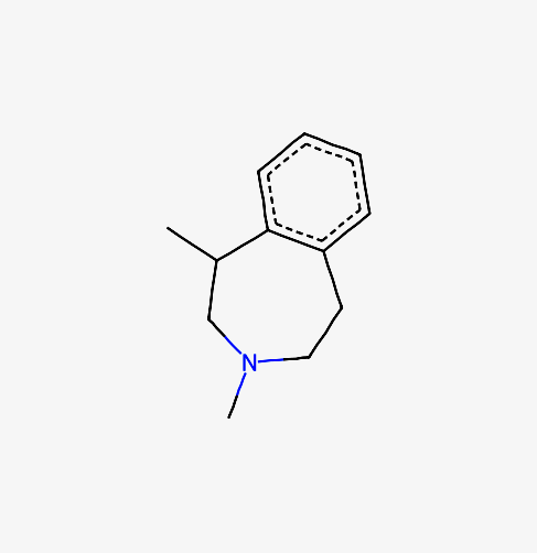 CC1CN(C)CCc2ccccc21